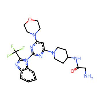 NCC(=O)NC1CCN(c2cc(N3CCOCC3)nc(-n3c(C(F)(F)F)nc4ccccc43)n2)CC1